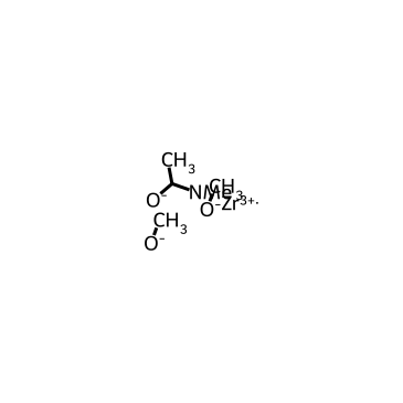 CNC(C)[O-].C[O-].C[O-].[Zr+3]